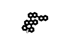 c1ccc2cc(-c3ccc4cccc(-c5c6ccccc6c(-c6cccc7oc8ccccc8c67)c6ccccc56)c4c3)ccc2c1